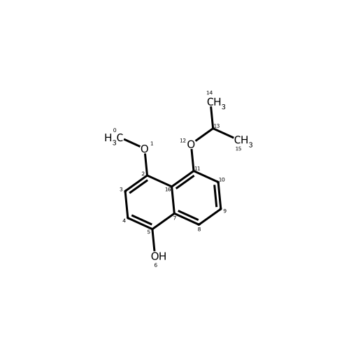 COc1ccc(O)c2cccc(OC(C)C)c12